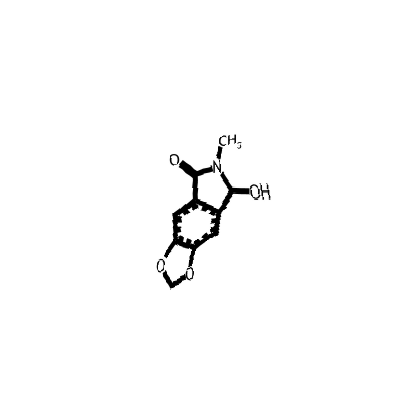 CN1C(=O)c2cc3c(cc2C1O)OCO3